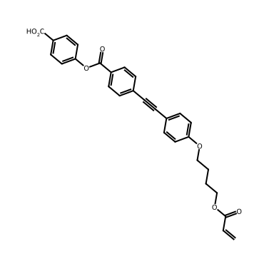 C=CC(=O)OCCCCOc1ccc(C#Cc2ccc(C(=O)Oc3ccc(C(=O)O)cc3)cc2)cc1